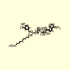 CCCCCCCCCCCCCCCCCCOC[C@H](COP(=O)(O)OC[C@@](C#N)(OC)[C@@H](O)[C@@H](O)c1ccc2c(N)ncnn12)OCc1ccc(C#N)c(Cl)c1